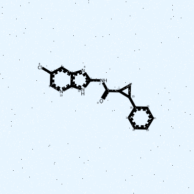 O=C(Nc1nc2cc(Cl)cnc2[nH]1)C1CC1c1ccccc1